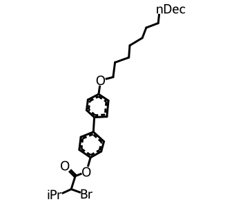 CCCCCCCCCCCCCCCCCOc1ccc(-c2ccc(OC(=O)C(Br)C(C)C)cc2)cc1